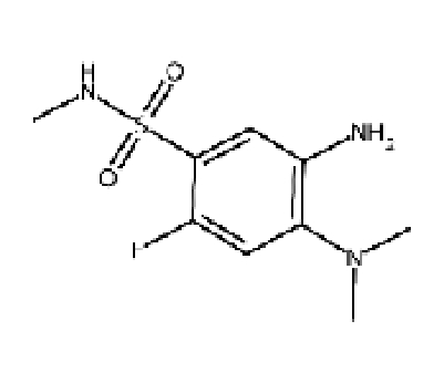 CNS(=O)(=O)c1cc(N)c(N(C)C)cc1F